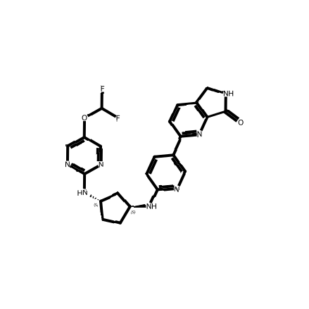 O=C1NCc2ccc(-c3ccc(N[C@H]4CC[C@H](Nc5ncc(OC(F)F)cn5)C4)nc3)nc21